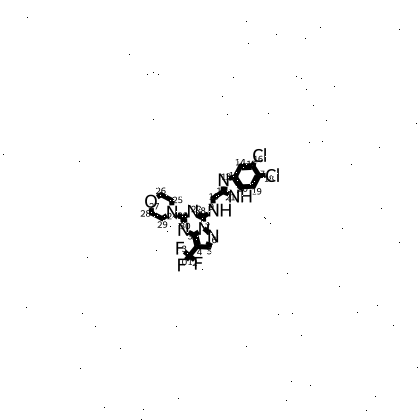 FC(F)(F)c1cnn2c(NCc3nc4cc(Cl)c(Cl)cc4[nH]3)nc(N3CCOCC3)nc12